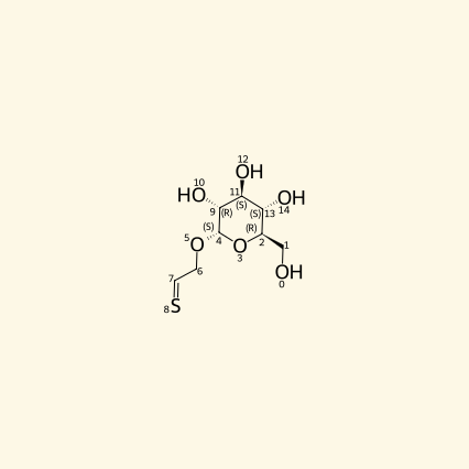 OC[C@H]1O[C@H](OCC=S)[C@H](O)[C@@H](O)[C@@H]1O